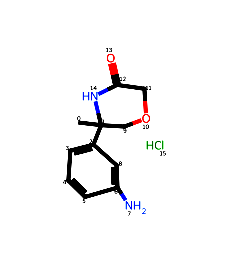 CC1(c2cccc(N)c2)COCC(=O)N1.Cl